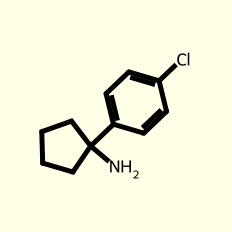 NC1(c2ccc(Cl)cc2)CCCC1